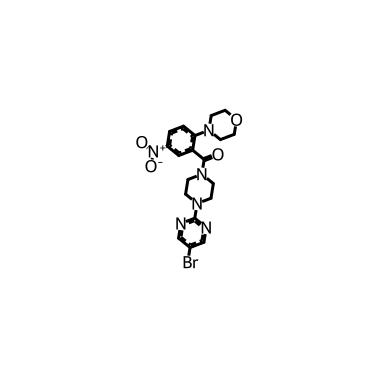 O=C(c1cc([N+](=O)[O-])ccc1N1CCOCC1)N1CCN(c2ncc(Br)cn2)CC1